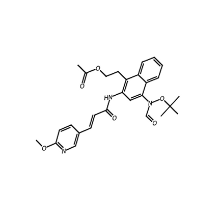 COc1ccc(/C=C/C(=O)Nc2cc(N(C=O)OC(C)(C)C)c3ccccc3c2CCOC(C)=O)cn1